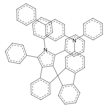 c1ccc(-c2ccc(N(c3ccccc3)c3ccc4c(c3)C3(c5ccccc5-4)c4ccccc4-c4c3c(-c3ccccc3)n(-c3ccccc3)c4-c3ccccc3)cc2)cc1